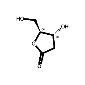 O=C1C[C@@H](O)[C@H](CO)O1